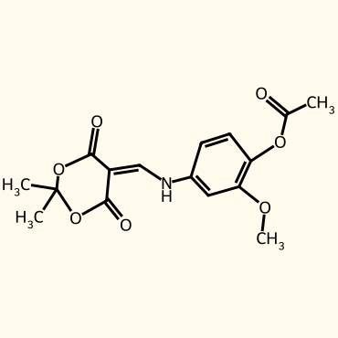 COc1cc(NC=C2C(=O)OC(C)(C)OC2=O)ccc1OC(C)=O